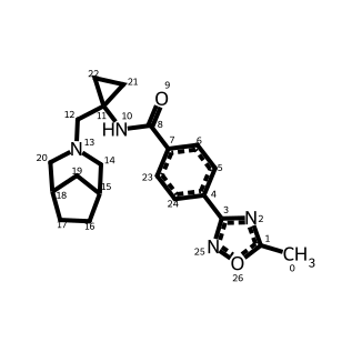 Cc1nc(-c2ccc(C(=O)NC3(CN4CC5CCC(C5)C4)CC3)cc2)no1